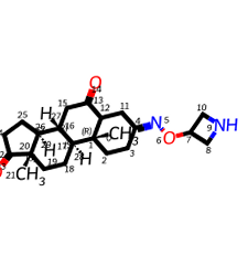 C[C@]12CCC(=NOC3CNC3)CC1C(=O)C[C@@H]1[C@@H]2CC[C@]2(C)C(=O)CC[C@@H]12